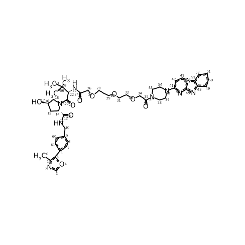 Cc1ncoc1-c1ccc(CNC(=O)[C@@H]2C[C@@H](O)CN2C(=O)[C@@H](NC(=O)COCCOCCOCC(=O)N2CCN(c3ccn4c(n3)nc3ccccc34)CC2)C(C)(C)C)cc1